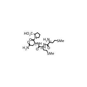 CSCC[C@H](NC(=O)[C@@H](N)CCSC)C(=O)N[C@@H](CC(N)=O)C(=O)N1CCC[C@H]1C(=O)O